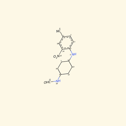 N#Cc1ccc(NC2CCC(NC=O)CC2)c([N+](=O)[O-])c1